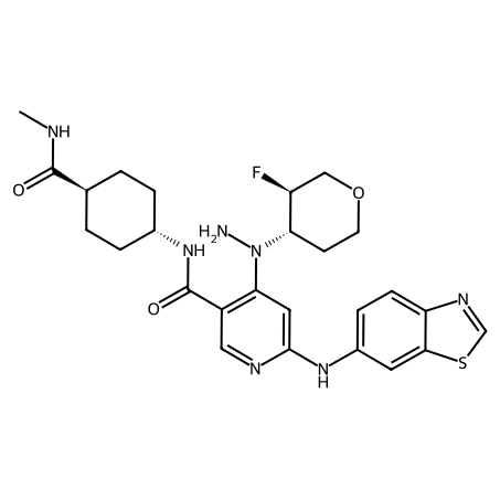 CNC(=O)[C@H]1CC[C@H](NC(=O)c2cnc(Nc3ccc4ncsc4c3)cc2N(N)[C@H]2CCOC[C@@H]2F)CC1